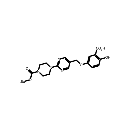 CC(C)(C)OC(=O)N1CCN(c2ncc(COc3ccc(O)c(C(=O)O)c3)cn2)CC1